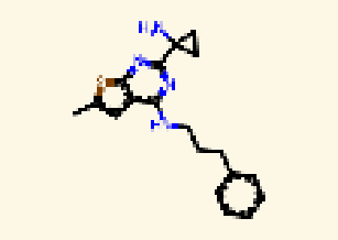 Cc1cc2c(NCCCc3ccccc3)nc(C3(N)CC3)nc2s1